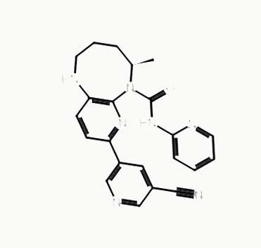 C[C@@H]1CCCNc2ccc(-c3cncc(C#N)c3)nc2N1C(=O)Nc1ccccn1